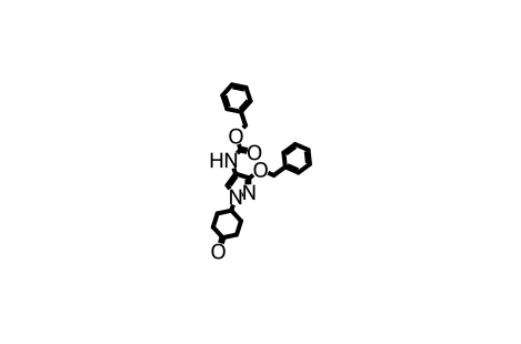 O=C1CCC(n2cc(NC(=O)OCc3ccccc3)c(OCc3ccccc3)n2)CC1